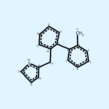 Cc1ccccc1-c1ccccc1Cc1cccs1